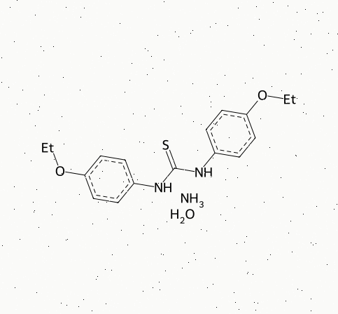 CCOc1ccc(NC(=S)Nc2ccc(OCC)cc2)cc1.N.O